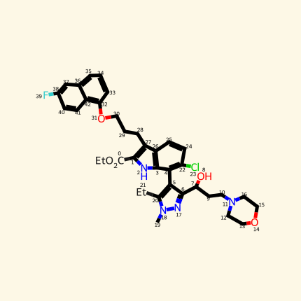 CCOC(=O)c1[nH]c2c(-c3c(C(O)CCN4CCOCC4)nn(C)c3CC)c(Cl)ccc2c1CCCOc1cccc2cc(F)ccc12